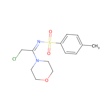 Cc1ccc(S(=O)(=O)/N=C(/CCl)N2CCOCC2)cc1